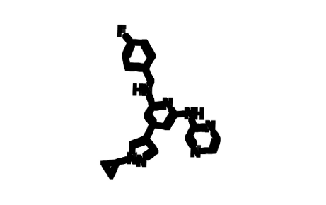 Fc1ccc(CNc2cc(-c3cnn(C4CC4)c3)cc(Nc3cnccn3)n2)cc1